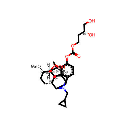 CO[C@@]12CC[C@@]3(C[C@@H]1[C@](C)(O)C(C)(C)C)C1Cc4ccc(OC(=O)OCC[C@@H](O)CO)c5c4[C@@]3(CCN1CC1CC1)[C@H]2O5